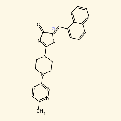 Cc1ccc(N2CCN(C3=NC(=O)/C(=C/c4cccc5ccccc45)S3)CC2)nn1